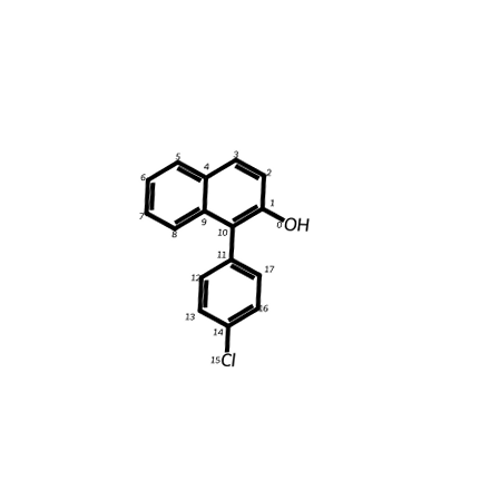 Oc1ccc2ccccc2c1-c1ccc(Cl)cc1